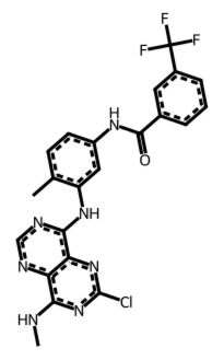 CNc1nc(Cl)nc2c(Nc3cc(NC(=O)c4cccc(C(F)(F)F)c4)ccc3C)ncnc12